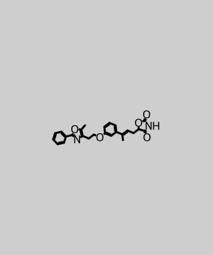 CC(=CCC1OC(=O)NC1=O)c1cccc(OCCc2nc(-c3ccccc3)oc2C)c1